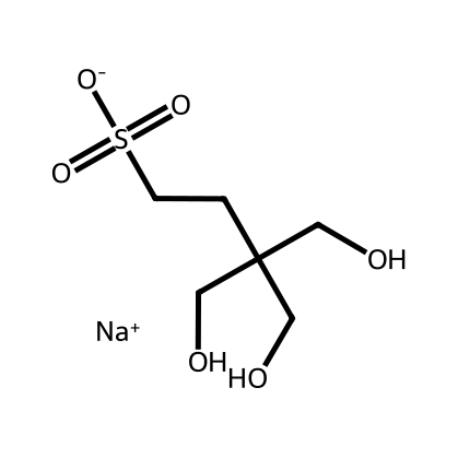 O=S(=O)([O-])CCC(CO)(CO)CO.[Na+]